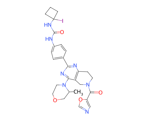 CC1COCCN1c1nc(-c2ccc(NC(=O)NC3(I)CCC3)cc2)nc2c1CN(C(=O)c1cnco1)CC2